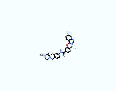 CCN1CCN(Cc2ccc(NC(=O)c3ccc(C)c(Oc4ncnc5cc(N)ccc45)c3)cc2C(F)(F)F)CC1